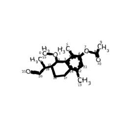 COC1c2c(C)c(OC(C)=O)cc(C)c2CCC1C(C)C=O